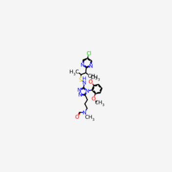 COc1cccc(OC)c1-n1c(CCCN(C)C=O)nnc1NSC(C)C(C)c1ncc(Cl)cn1